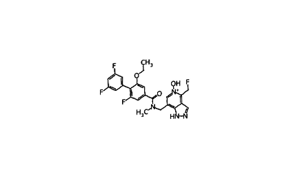 CCOc1cc(C(=O)N(C)Cc2c[n+](O)c(CF)c3cn[nH]c23)cc(F)c1-c1cc(F)cc(F)c1